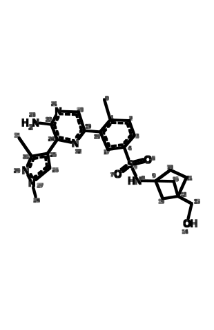 Cc1ccc(S(=O)(=O)NC23CCC(CO)(C2)C3)cc1-c1cnc(N)c(-c2cn(C)nc2C)n1